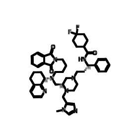 Cn1cncc1CN1CCN(CC[C@H](NC(=O)C2CCC(F)(F)CC2)c2ccccc2)C[C@@H]1CN(CCCCN1C(=O)c2ccccc2C1=O)[C@H]1CCCc2cccnc21